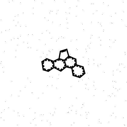 C1=Cc2c3ccccc3cc3c2c1cc1ccccc13